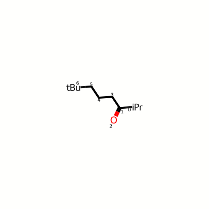 CC(C)C(=O)CCCC(C)(C)C